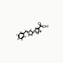 O=C(O)c1cn(C2CCN(Cc3ccccc3)C2)nn1